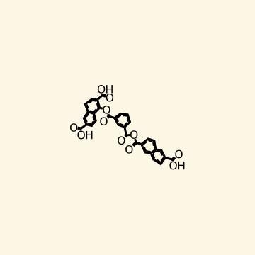 O=C(O)c1ccc2cc(C(=O)OC(=O)c3cccc(C(=O)Oc4c(C(=O)O)ccc5cc(C(=O)O)ccc45)c3)ccc2c1